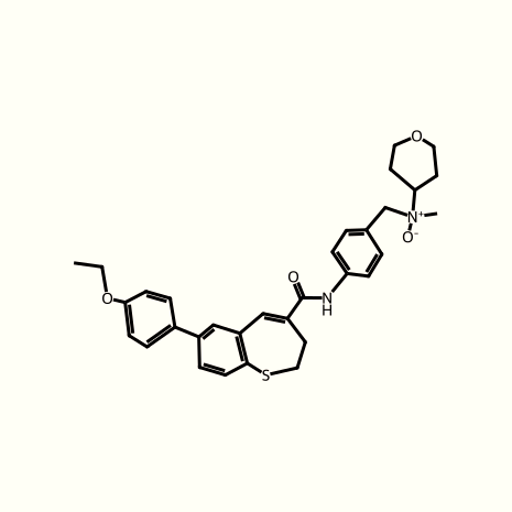 CCOc1ccc(-c2ccc3c(c2)C=C(C(=O)Nc2ccc(C[N+](C)([O-])C4CCOCC4)cc2)CCS3)cc1